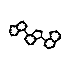 C1=Cc2c(cccc2-c2cccc3ccccc23)[C]1c1cccc2ccccc12